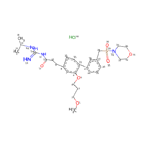 COCCCOc1cc(CCC(=O)NC(=N)NC(C)C)ccc1-c1cccc(CS(=O)(=O)N2CCOCC2)c1.Cl